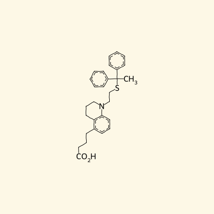 CC(SCCN1CCCc2c(CCCC(=O)O)cccc21)(c1ccccc1)c1ccccc1